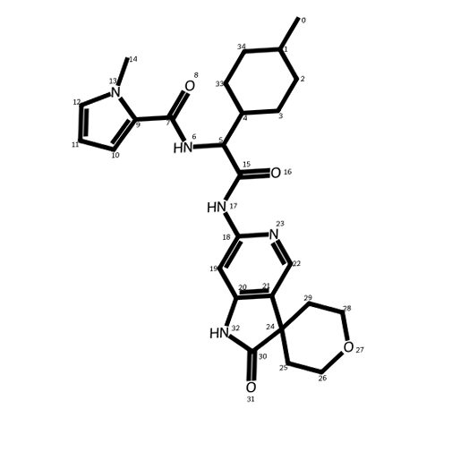 CC1CCC(C(NC(=O)c2cccn2C)C(=O)Nc2cc3c(cn2)C2(CCOCC2)C(=O)N3)CC1